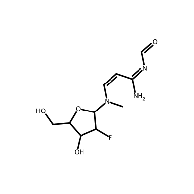 CN(/C=C\C(N)=N/C=O)C1OC(CO)C(O)C1F